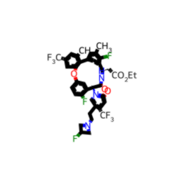 CCOC(=O)C[C@@H]1NC(=O)[C@@H](n2cc(CCN3CC(F)C3)c(C(F)(F)F)cc2=O)c2cc(ccc2F)Oc2cc(C(F)(F)F)cc(C)c2-c2cc(C)c(F)c1c2